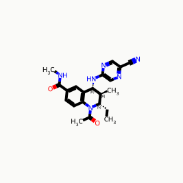 CC[C@H]1[C@H](C)[C@@H](Nc2cnc(C#N)cn2)c2cc(C(=O)NC)ccc2N1C(C)=O